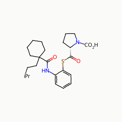 CC(C)CCC1(C(=O)Nc2ccccc2SC(=O)[C@@H]2CCCN2C(=O)O)CCCCC1